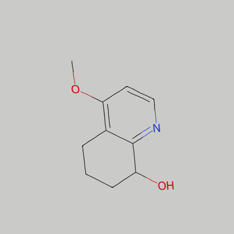 COc1ccnc2c1CCCC2O